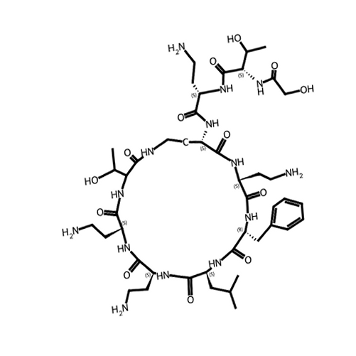 CC(C)C[C@@H]1NC(=O)[C@@H](Cc2ccccc2)NC(=O)[C@H](CCN)NC(=O)[C@@H](NC(=O)[C@H](CCN)NC(=O)[C@@H](NC(=O)CO)C(C)O)CCNC(=O)C(C(C)O)NC(=O)[C@H](CCN)NC(=O)[C@H](CCN)NC1=O